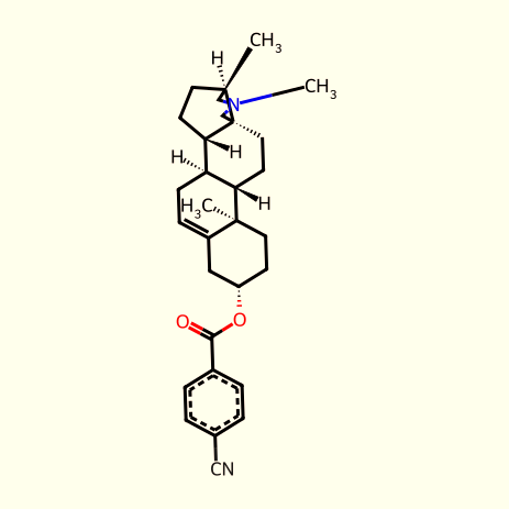 C[C@H]1[C@H]2CC[C@H]3[C@@H]4CC=C5C[C@@H](OC(=O)c6ccc(C#N)cc6)CC[C@]5(C)[C@H]4CC[C@]23CN1C